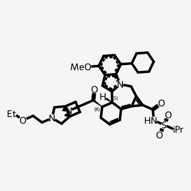 CCOCCN1CC23CCC2(C1)CN(C(=O)[C@@H]1CC=CC2=C4C(=C4C(=O)NS(=O)(=O)C(C)C)Cn4c(cc5c(OC)ccc(C6CCCCC6)c54)[C@H]21)C3